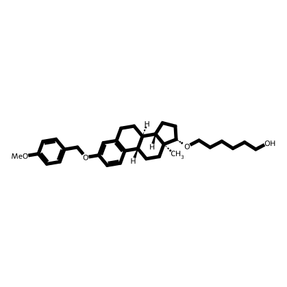 COc1ccc(COc2ccc3c(c2)CC[C@@H]2[C@@H]3CC[C@]3(C)[C@@H](OCCCCCCO)CC[C@@H]23)cc1